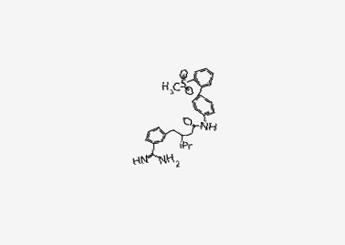 CC(C)C(CC(=O)Nc1ccc(-c2ccccc2S(C)(=O)=O)cc1)Cc1cccc(C(=N)N)c1